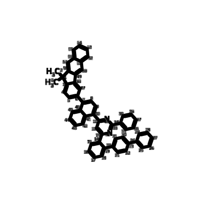 CC1(C)c2ccc(-c3ccc(-c4cc(-c5ccccc5-c5ccc(-c6ccccc6)cc5)nc(-c5ccccc5)n4)c4ccccc34)cc2-c2cc3ccccc3cc21